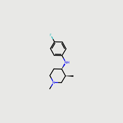 C[C@H]1CN(C)CC[C@H]1Nc1ccc(F)cc1